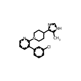 Cc1[nH]cnc1C1CCN(c2ncccc2-c2cccc(Cl)c2)CC1